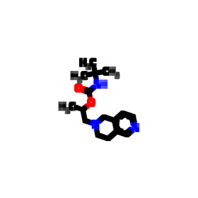 C[C@H](CN1CCc2cnccc2C1)OC(=O)NC(C)(C)C